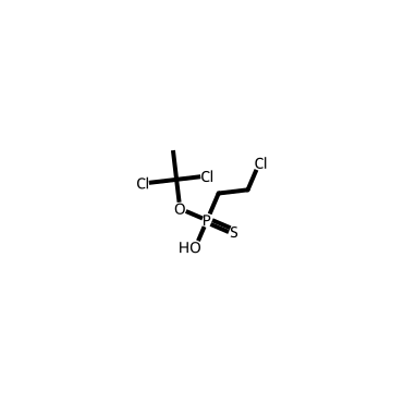 CC(Cl)(Cl)OP(O)(=S)CCCl